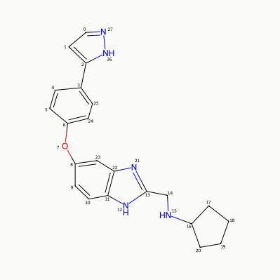 c1cc(-c2ccc(Oc3ccc4[nH]c(CNC5CCCC5)nc4c3)cc2)[nH]n1